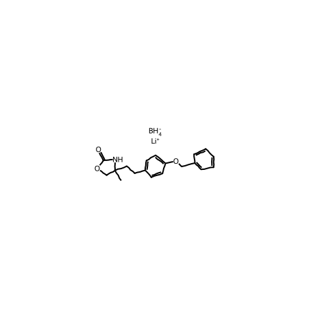 CC1(CCc2ccc(OCc3ccccc3)cc2)COC(=O)N1.[BH4-].[Li+]